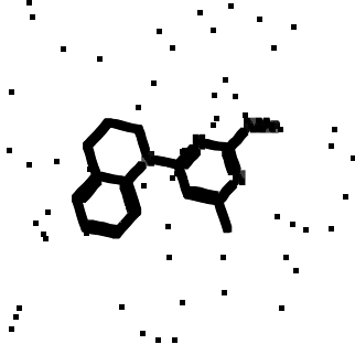 CNc1nc(C)cc(N2CCCc3ccccc32)n1